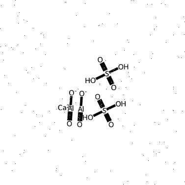 O=S(=O)(O)O.O=S(=O)(O)O.[Ca+2].[O]=[Al][O-].[O]=[Al][O-]